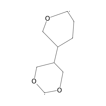 [CH]1CCC(C2CO[CH]OC2)CO1